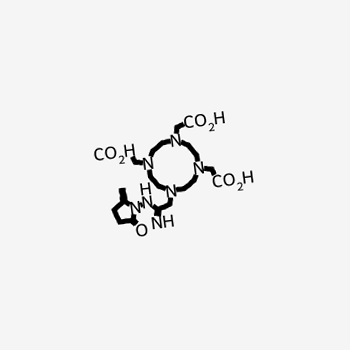 C=C1CCC(=O)N1NC(=N)CN1CCN(CC(=O)O)CCN(CC(=O)O)CCN(CC(=O)O)CC1